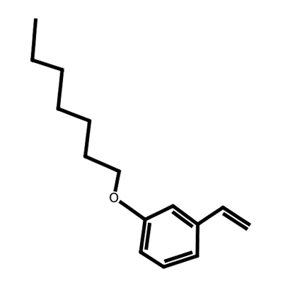 C=Cc1cccc(OCCCCCCC)c1